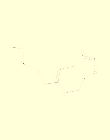 COC(=O)c1cc2c(o1)-c1cc[nH]c1CC2